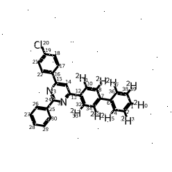 [2H]c1c([2H])c([2H])c(-c2c([2H])c([2H])c(-c3cc(-c4ccc(Cl)cc4)nc(-c4ccccc4)n3)c([2H])c2[2H])c([2H])c1[2H]